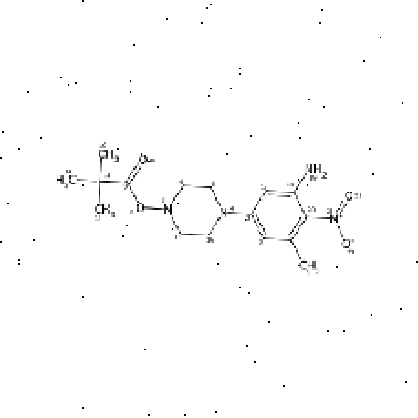 Cc1cc(N2CCN(OC(=O)C(C)(C)C)CC2)cc(N)c1[N+](=O)[O-]